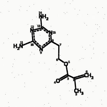 C=C(C)C(=O)OCCc1nc(N)nc(N)n1